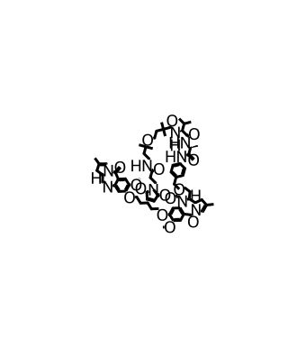 CCC1[C@@H]2CC(C)=CN2C(=O)c2cc(OC)c(OCCCCCOc3cc4c(cc3OC)C(=O)N3C=C(C)C[C@H]3C=N4)cc2N1C(=O)OCc1ccc(NC(=O)[C@H](C)NC(=O)[C@@H](NC(=O)C(C)(C)CCOC(C)(C)CCNC(=O)CCN2C(=O)C=CC2=O)C(C)C)cc1